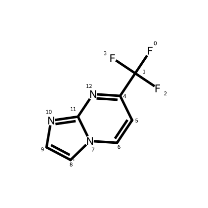 FC(F)(F)c1ccn2[c]cnc2n1